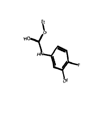 CCOC(O)Nc1ccc(F)c(C#N)c1